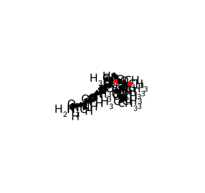 CC[C@H](C)[C@@H]([C@@H](CC(=O)CN1CCC[C@H]1[C@H](OC)[C@@H](C)C(=O)Nc1ccc(NCc2ccc(NC(=O)[C@H](CCCNC(N)=O)NC)cc2)cc1)OC)N(C)C(=O)[C@H](NC(=O)C(C(C)C)N(C)C)C(C)C